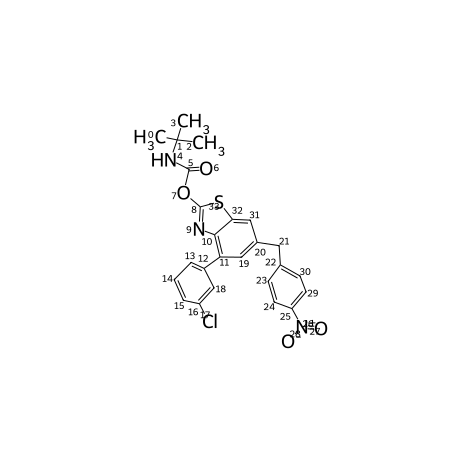 CC(C)(C)NC(=O)Oc1nc2c(-c3cccc(Cl)c3)cc(Cc3ccc([N+](=O)[O-])cc3)cc2s1